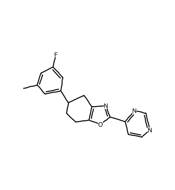 Cc1cc(F)cc(C2CCc3oc(-c4ccncn4)nc3C2)c1